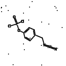 [N-]=[N+]=NCc1ccc(OP(=O)(Cl)Cl)cc1